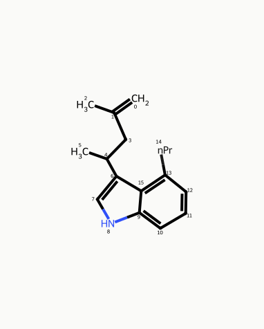 C=C(C)CC(C)c1c[nH]c2cccc(CCC)c12